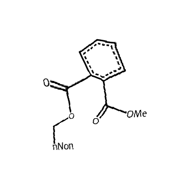 CCCCCCCCCCOC(=O)c1ccccc1C(=O)OC